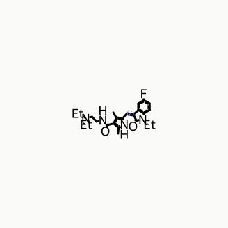 CCN(CC)CCNC(=O)c1c(C)[nH]c(/C=C2\C(=O)N(CC)c3ccc(F)cc32)c1C